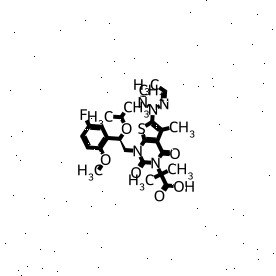 C=NN(/N=C\C)c1sc2c(c1C)c(=O)n(C(C)(C)C(=O)O)c(=O)n2C[C@H](OC(C)C)c1cc(F)ccc1OC